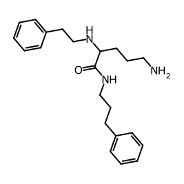 NCCCC(NCCc1ccccc1)C(=O)NCCCc1ccccc1